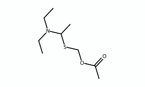 CCN(CC)C(C)SCOC(C)=O